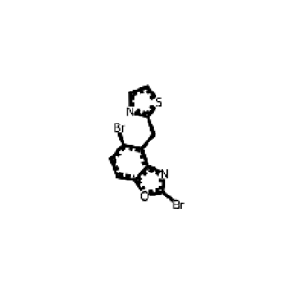 Brc1nc2c(Cc3nccs3)c(Br)ccc2o1